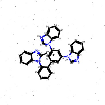 Cc1nc2ccccc2n1-c1ccccc1-c1cc(-n2cnc3ccccc32)cc(-n2cnc3ccccc32)c1